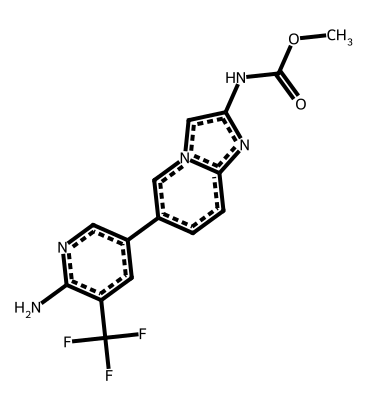 COC(=O)Nc1cn2cc(-c3cnc(N)c(C(F)(F)F)c3)ccc2n1